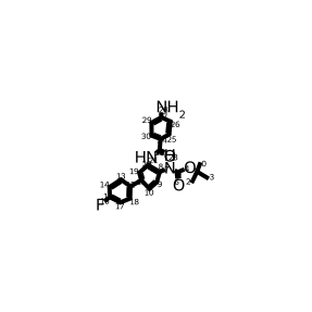 CC(C)(C)OC(=O)Nc1ccc(-c2ccc(F)cc2)cc1NC(=O)c1ccc(N)cc1